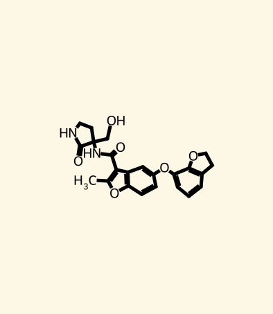 Cc1oc2ccc(Oc3cccc4c3OCC4)cc2c1C(=O)NC1(CO)CCNC1=O